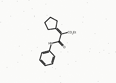 CCOC(=O)C(C(=O)Nc1ccccc1)=C1CCCC1